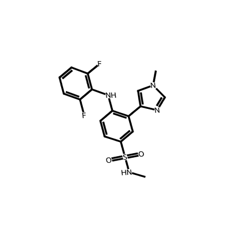 CNS(=O)(=O)c1ccc(Nc2c(F)cccc2F)c(-c2cn(C)cn2)c1